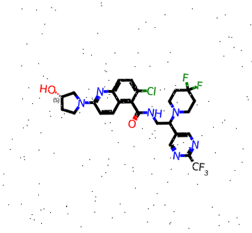 O=C(NCC(c1cnc(C(F)(F)F)nc1)N1CCC(F)(F)CC1)c1c(Cl)ccc2nc(N3CC[C@H](O)C3)ccc12